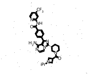 CC(C)N1CC(C(=O)N2CCC[C@@H](c3nc(-c4ccc(C(=O)Nc5cc(C(F)(F)F)ccn5)cc4)c4c(N)nccn34)C2)C1